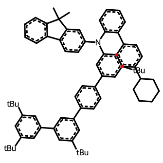 CC(C)(C)c1cc(-c2ccc(-c3cc(N(c4ccc5c(c4)C(C)(C)c4ccccc4-5)c4ccccc4-c4ccc(C5CCCCC5)cc4)cc(C(C)(C)C)c3)cc2)cc(-c2cc(C(C)(C)C)cc(C(C)(C)C)c2)c1